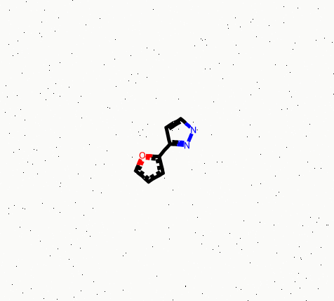 C1=CC(c2ccco2)=N[N]1